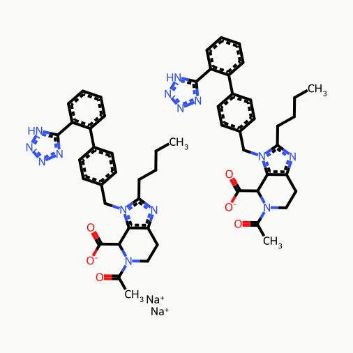 CCCCc1nc2c(n1Cc1ccc(-c3ccccc3-c3nnn[nH]3)cc1)C(C(=O)[O-])N(C(C)=O)CC2.CCCCc1nc2c(n1Cc1ccc(-c3ccccc3-c3nnn[nH]3)cc1)C(C(=O)[O-])N(C(C)=O)CC2.[Na+].[Na+]